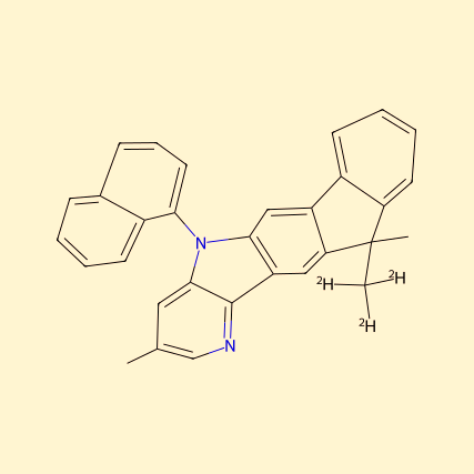 [2H]C([2H])([2H])C1(C)c2ccccc2-c2cc3c(cc21)c1ncc(C)cc1n3-c1cccc2ccccc12